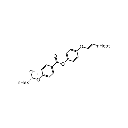 CCCCCCC/C=C/Oc1ccc(OC(=O)c2ccc(O[C@@H](C)CCCCCC)cc2)cc1